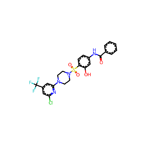 O=C(Nc1ccc(S(=O)(=O)N2CCN(c3cc(C(F)(F)F)cc(Cl)n3)CC2)c(O)c1)c1ccccc1